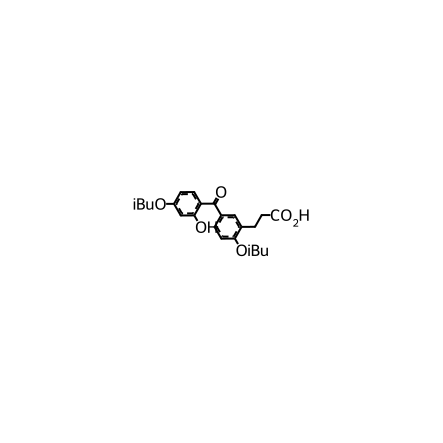 CC(C)COc1ccc(C(=O)c2ccc(OCC(C)C)c(CCC(=O)O)c2)c(O)c1